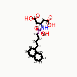 O=C(O)CC(CC(=O)O)NP(=O)(O)CCCCc1cccc2ccccc12